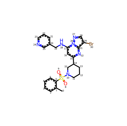 Cc1ccccc1S(=O)(=O)N1CCCC(c2cc(NCc3cccnc3)n3ncc(Br)c3n2)C1